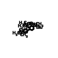 CC(C)(C)[Si](C)(c1ccc2c3ccc([Si](C)(C)C)cc3n([Si](C)(C)C)c2c1)C(C)(C)C